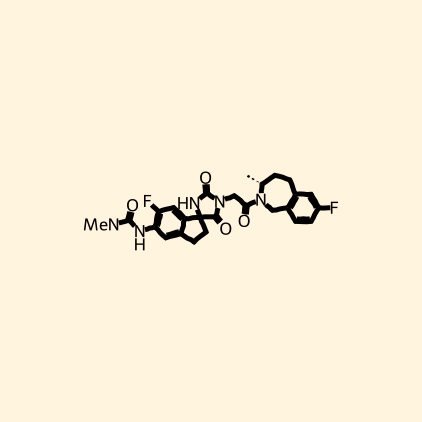 CNC(=O)Nc1cc2c(cc1F)C1(CC2)NC(=O)N(CC(=O)N2Cc3ccc(F)cc3CC[C@H]2C)C1=O